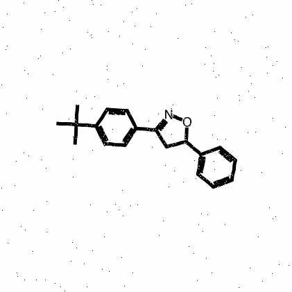 CC(C)(C)c1ccc(C2=NOC(c3ccccc3)C2)cc1